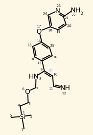 C[Si](C)(C)CCOCN/C(=C\C=N)c1ccc(Oc2ccc(N)nc2)cc1